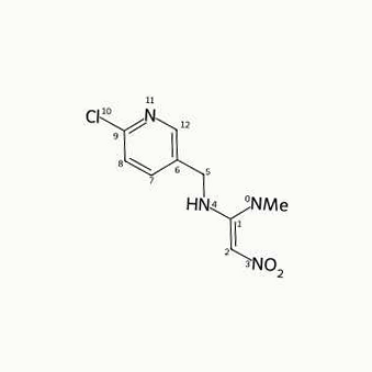 CN/C(=C\[N+](=O)[O-])NCc1ccc(Cl)nc1